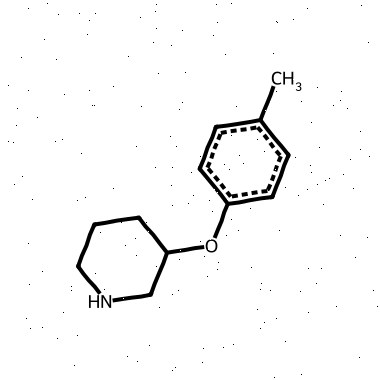 Cc1ccc(OC2CCCNC2)cc1